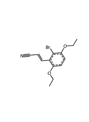 CCOc1ccc(OCC)c(C=CC#N)c1Br